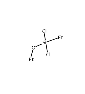 CCO[Si](Cl)(Cl)CC